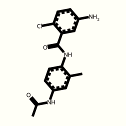 CC(=O)Nc1ccc(NC(=O)c2cc(N)ccc2Cl)c(C)c1